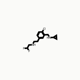 FC(F)CNCCc1ccc(Cl)c(CNC2CC2)c1